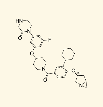 O=C(c1ccc(O[C@H]2CC3CN3C2)c(C2CCCCC2)c1)N1CCC(Oc2cc(F)cc(N3CCNCC3=O)c2)CC1